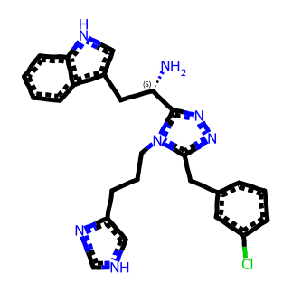 N[C@@H](Cc1c[nH]c2ccccc12)c1nnc(Cc2cccc(Cl)c2)n1CCCc1c[nH]cn1